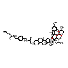 C=CCOC(=O)NCc1ccc(CNC(=O)O[C@H]2CC[C@@]3(C)C(=CC[C@@H]4C3CC[C@@]3(C)[C@H]4C[C@H](OC4OCC(O)C(OC5OCC(O)C(O)C5OC(=O)c5ccc(OC)cc5)C4OC(C)=O)[C@]3(O)[C@H](C)C(=O)CCC(C)C)C2)cc1